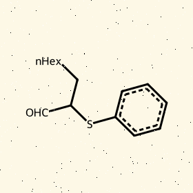 CCCCCCCC(C=O)Sc1ccccc1